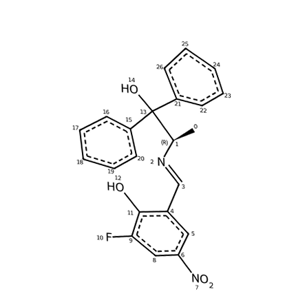 C[C@@H](N=Cc1cc([N+](=O)[O-])cc(F)c1O)C(O)(c1ccccc1)c1ccccc1